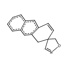 [C]1=NOCC12C=Cc1cc3ccccc3cc1C2